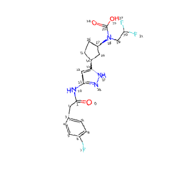 O=C(Cc1ccc(F)cc1)Nc1cc([C@H]2CC[C@@H](N(CC(F)F)C(=O)O)C2)[nH]n1